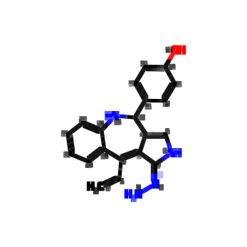 C=CC1=C2C(=CN/C2=N/N)C(c2ccc(O)cc2)Nc2ccccc21